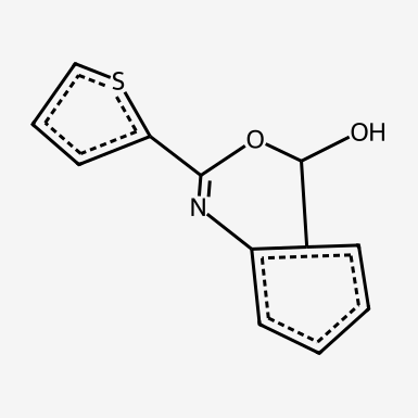 OC1OC(c2cccs2)=Nc2ccccc21